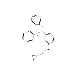 O=C(NCC1CC1)c1cccc(N(Cc2ccccc2)S(=O)(=O)c2ccccc2)c1